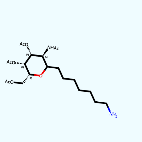 CC(=O)N[C@H]1C(CCCCCCCN)O[C@H](COC(C)=O)[C@H](OC(C)=O)[C@@H]1OC(C)=O